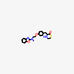 CN(CCOc1ccc(CC2NCCSC2=O)cc1)c1nc2ccccc2o1